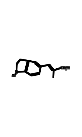 CCOC(=O)/C(C)=C/c1ccc2c(c1)CCN2C(C)=O